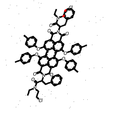 CCN(CCCl)C(=O)C(Cc1ccccc1)N1C(=O)c2cc(Oc3ccc(C)cc3)c3c4c(Oc5ccc(C)cc5)cc5c6c(cc(Oc7ccc(C)cc7)c(c7c(Oc8ccc(C)cc8)cc(c2c37)C1=O)c64)C(=O)N(C(Cc1ccccc1)C(=O)N(CC)CCCl)C5=O